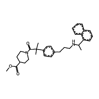 COC(=O)C1CCN(C(=O)C(C)(C)c2ccc(CCCNC(C)c3cccc4ccccc34)cc2)CC1